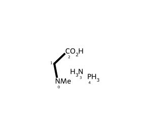 CNCC(=O)O.N.P